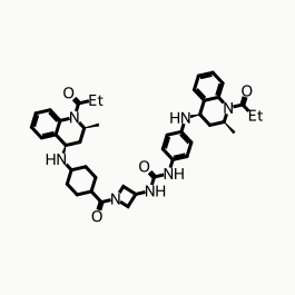 CCC(=O)N1c2ccccc2[C@H](Nc2ccc(NC(=O)NC3CN(C(=O)C4CCC(N[C@@H]5C[C@H](C)N(C(=O)CC)c6ccccc65)CC4)C3)cc2)C[C@@H]1C